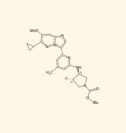 COc1cc2ncc(-c3cc(C)cc(N[C@H]4CN(C(=O)OC(C)(C)C)C[C@@H]4F)n3)n2nc1C1CC1